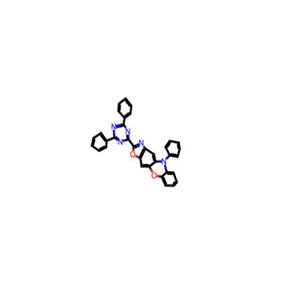 c1ccc(-c2nc(-c3ccccc3)nc(-c3nc4cc5c(cc4o3)Oc3ccccc3N5c3ccccc3)n2)cc1